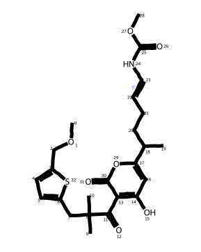 COCc1ccc(CC(C)(C)C(=O)c2c(O)cc(C(C)CC/C=C/NC(=O)OC)oc2=O)s1